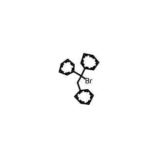 BrC(Cc1ccccc1)(c1ccccc1)c1ccccc1